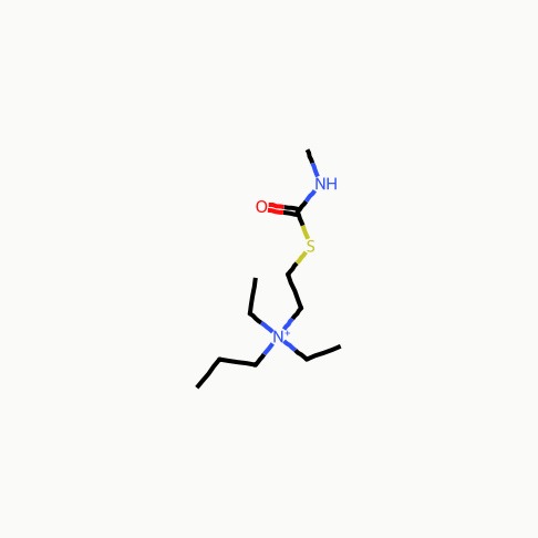 CCC[N+](CC)(CC)CCSC(=O)NC